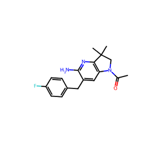 CC(=O)N1CC(C)(C)c2nc(N)c(Cc3ccc(F)cc3)cc21